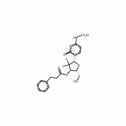 CCOC(=O)Nc1ccn([C@@H]2O[C@H](CO)[C@@H](OC(=O)CCc3ccccc3)C2(F)F)c(=O)n1